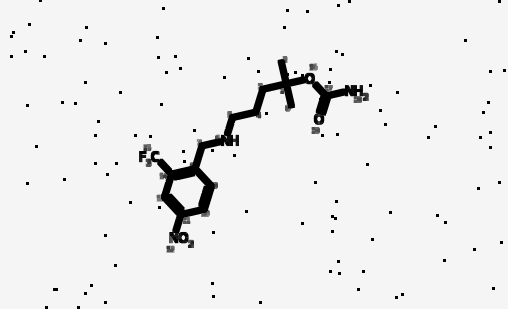 CC(C)(CCCNCc1ccc([N+](=O)[O-])cc1C(F)(F)F)OC(N)=O